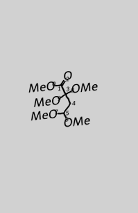 COC(=O)C(CC(OC)OC)(OC)OC